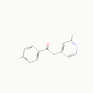 O=C(Cc1ccnc(Cl)c1)c1ccc(F)cc1